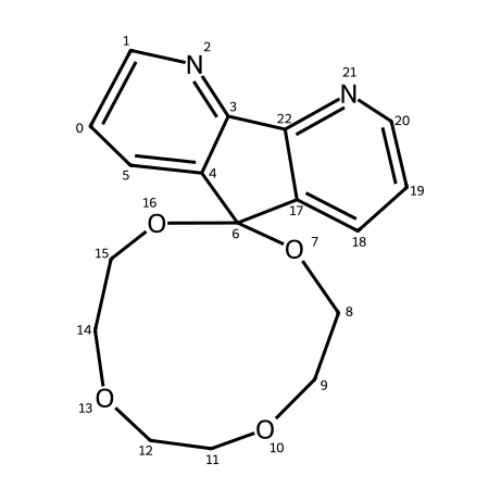 c1cnc2c(c1)C1(OCCOCCOCCO1)c1cccnc1-2